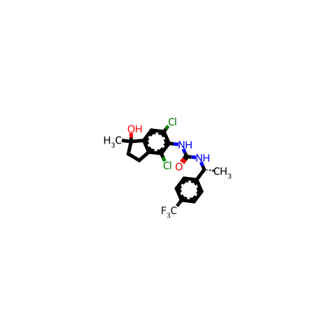 C[C@@H](NC(=O)Nc1c(Cl)cc2c(c1Cl)CCC2(C)O)c1ccc(C(F)(F)F)cc1